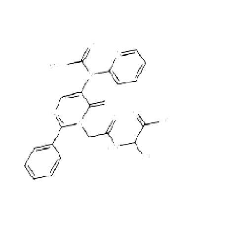 COC(=O)N(c1ccccn1)c1cnc(-c2ccccc2)n(CC(=O)NC(C(=O)C(F)(F)F)C(C)C)c1=O